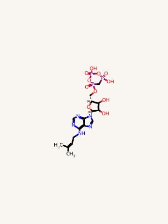 CC(C)=CCNc1ncnc2c1ncn2[C@@H]1O[C@H](COP2(=O)CP(=O)(O)OP(=O)(O)O2)C(O)C1O